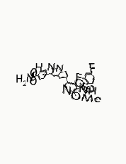 COc1ncc(-c2ccc3nc(N)c(-c4ccc(S(N)(=O)=O)cc4)cc3c2)cc1NS(=O)(=O)c1ccc(F)cc1F